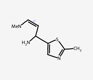 CN/C=C\C(N)c1cnc(C)s1